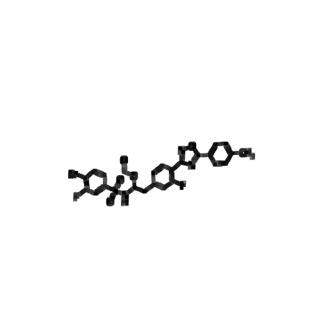 Cc1ccc(-c2nc(-c3ccc(CC(NS(=O)(=O)c4ccc(Br)c(F)c4)OC=O)cc3F)no2)cc1